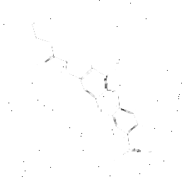 CCOC(=O)COc1cc(Br)c(Oc2ccc([N+](=O)[O-])cc2)c(Br)c1